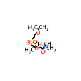 CC(C)OCCCS(=O)(=O)CC(C)(C)OCC(=O)N(C)C